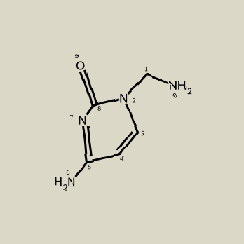 NCn1ccc(N)nc1=O